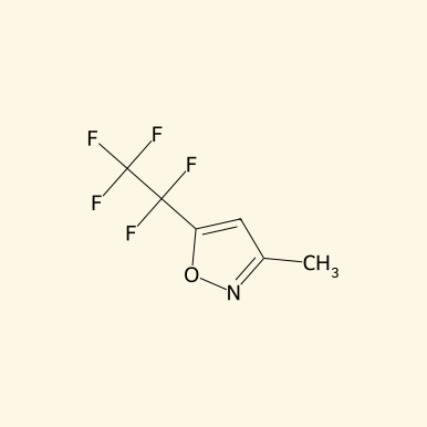 Cc1cc(C(F)(F)C(F)(F)F)on1